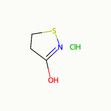 Cl.OC1=NSCC1